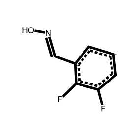 ON=Cc1c[c]cc(F)c1F